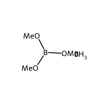 B.COB(OC)OC